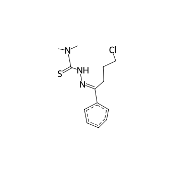 CN(C)C(=S)NN=C(CCCCl)c1ccccc1